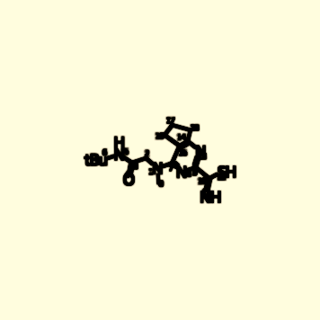 CN(CC(=O)NC(C)(C)C)c1nc(C(=N)S)nc2c1CCC2